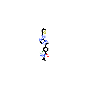 O=C(NC1CC1)c1ccc(-c2cnc3c(NCc4cccs4)nccn23)cc1Cl